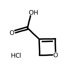 Cl.O=C(O)C1=COC1